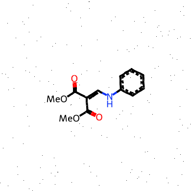 COC(=O)C(=CNc1ccccc1)C(=O)OC